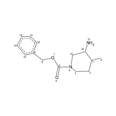 CC1CCN(C(=O)OCc2ccccc2)CC1N